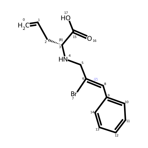 C=CC[C@@H](NC/C(Br)=C/c1ccccc1)C(=O)O